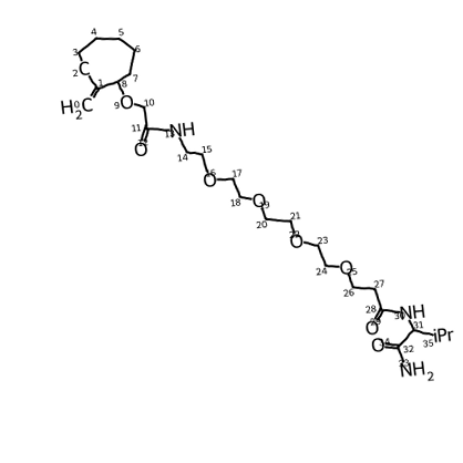 C=C1CCCCCCC1OCC(=O)NCCOCCOCCOCCOCCC(=O)NC(C(N)=O)C(C)C